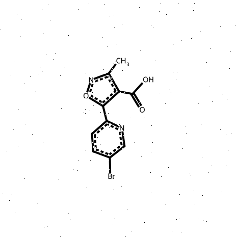 Cc1noc(-c2ccc(Br)cn2)c1C(=O)O